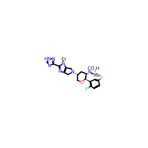 CCn1c(-c2nc[nH]n2)nc2c1CN([C@H]1CO[C@H](c3cc(F)ccc3F)[C@@H](N(C(=O)O)C(C)(C)C)C1)C2